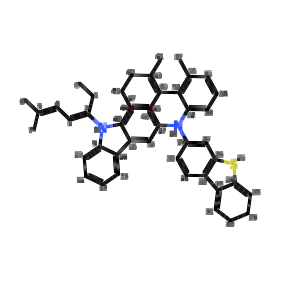 CC/C(=C\C=C(C)C)n1c2ccccc2c2cc(N(c3ccc4c5c(sc4c3)=CCCC=5)c3cccc(C)c3C3=C(C)CCC=C3)ccc21